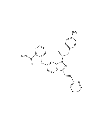 CNC(=O)c1ccccc1Sc1ccc2c(/C=C/c3ccccn3)nn(C(=O)Oc3ccc([N+](=O)[O-])cc3)c2c1